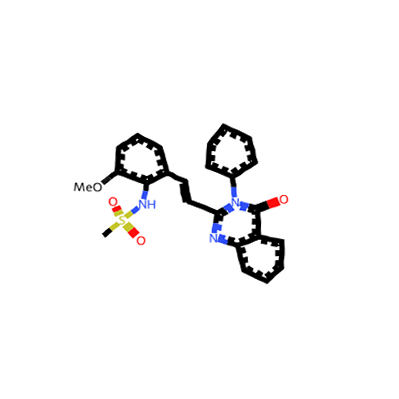 COc1cccc(C=Cc2nc3ccccc3c(=O)n2-c2ccccc2)c1NS(C)(=O)=O